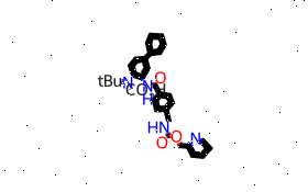 CC(C)(C)N(C(=O)O)c1ccc(-c2ccccc2)cc1NC(=O)c1ccc(CNC(=O)OCc2ccccn2)cc1